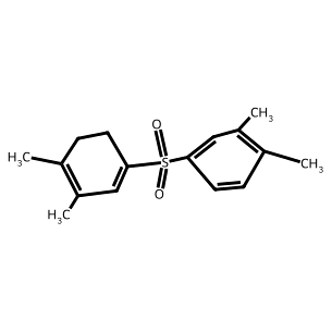 CC1=C(C)CCC(S(=O)(=O)c2ccc(C)c(C)c2)=C1